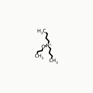 CCCC[N+](CCCC)OCCC